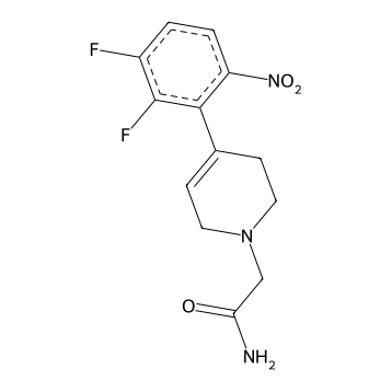 NC(=O)CN1CC=C(c2c([N+](=O)[O-])ccc(F)c2F)CC1